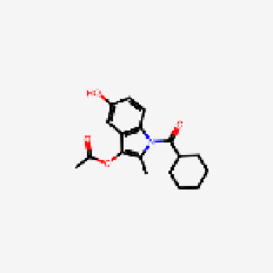 CC(=O)Oc1c(C)n(C(=O)C2CCCCC2)c2ccc(O)cc12